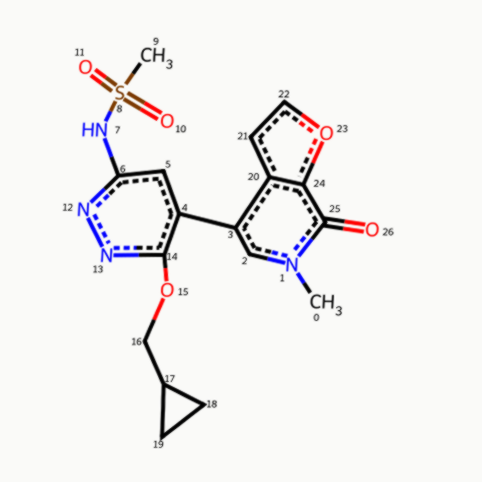 Cn1cc(-c2cc(NS(C)(=O)=O)nnc2OCC2CC2)c2ccoc2c1=O